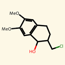 COc1cc2c(cc1OC)C(O)C(CCl)CC2